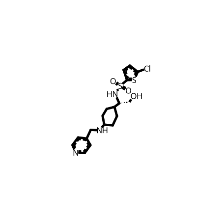 O=S(=O)(N[C@H](CO)C1CCC(NCc2ccncc2)CC1)c1ccc(Cl)s1